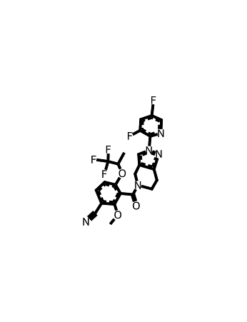 COc1c(C#N)ccc(OC(C)C(F)(F)F)c1C(=O)N1CCc2nn(-c3ncc(F)cc3F)cc2C1